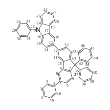 c1ccc(-c2ccc3c(c2)-c2cc(-c4ccc5c(c4)c4ccccc4n5-c4ccccc4)ccc2C3(c2ccccc2)c2ccccc2)cc1